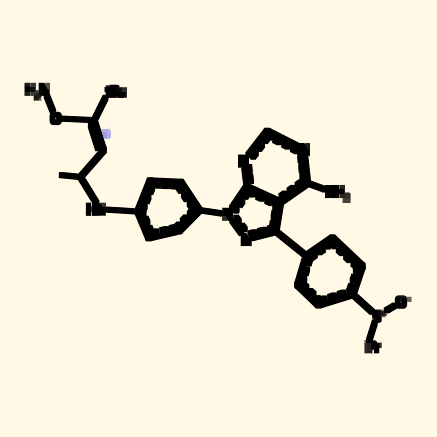 CC(/C=C(\ON)C(C)(C)C)Nc1ccc(-n2nc(-c3ccc([S+]([O-])C(C)C)cc3)c3c(N)ncnc32)cc1